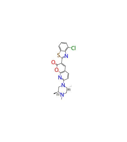 C[C@@H]1CN(C)[C@@H](C)CN1c1ccc2cc(-c3nc4c(Cl)cccc4s3)c(=O)oc2n1